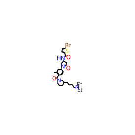 CCN(CC)CCCCC1CCCN(C(=O)c2ccc(N3CC(NC(=O)c4ccc(Br)s4)CC3=O)cc2C)C1